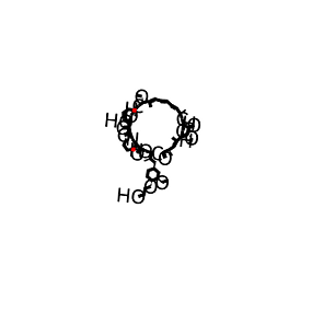 CO[C@H]1C[C@@H]2CC[C@@H](C)[C@@](O)(O2)C(=O)C(=O)N2CCCC[C@H]2C(=O)O[C@H]([C@H](C)C[C@@H]2CC[C@@H](OCCO)[C@H](OC)C2)CC(=O)[C@H](C)/C=C(\C)[C@H]2O[C@H](C[C@H](C)/C=C/C=C/C=C/1C)C(=O)[C@@H]2OC